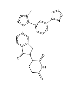 Cn1cnc(-c2ccc3c(c2)CN(C2CCC(=O)NC2=O)C3=O)c1-c1cccc(-n2cccn2)c1